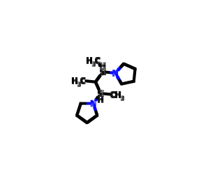 CC([SiH](C)N1CCCC1)[SiH](C)N1CCCC1